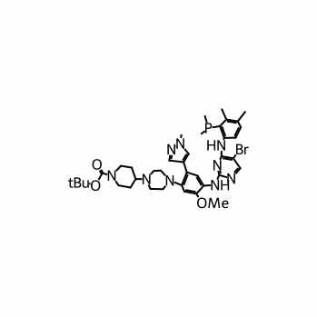 COc1cc(N2CCN(C3CCN(C(=O)OC(C)(C)C)CC3)CC2)c(-c2cnn(C)c2)cc1Nc1ncc(Br)c(Nc2ccc(C)c(C)c2P(C)C)n1